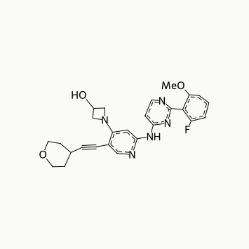 COc1cccc(F)c1-c1nccc(Nc2cc(N3CC(O)C3)c(C#CC3CCOCC3)cn2)n1